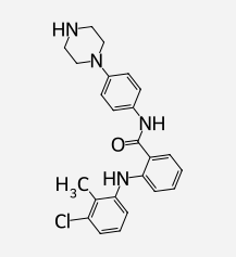 Cc1c(Cl)cccc1Nc1ccccc1C(=O)Nc1ccc(N2CCNCC2)cc1